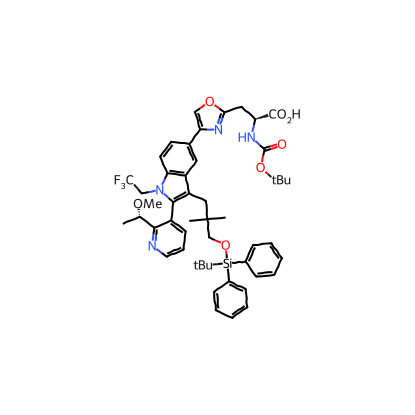 CO[C@@H](C)c1ncccc1-c1c(CC(C)(C)CO[Si](c2ccccc2)(c2ccccc2)C(C)(C)C)c2cc(-c3coc(C[C@H](NC(=O)OC(C)(C)C)C(=O)O)n3)ccc2n1CC(F)(F)F